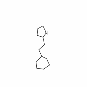 C1CCC(CCC2CCC[N]2)CC1